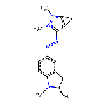 CC1Cc2cc(N=Nc3c4c([n+](C)n3C)C4)ccc2N1C